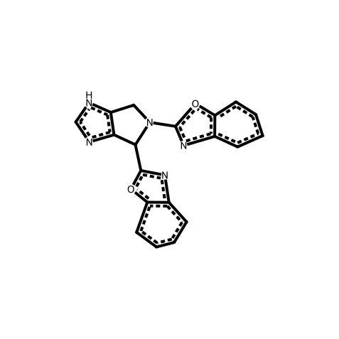 c1ccc2oc(C3c4nc[nH]c4CN3c3nc4ccccc4o3)nc2c1